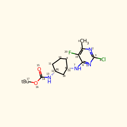 Cc1nc(Cl)nc(N[C@H]2CCC[C@@H](NC(=O)OC(C)(C)C)C2)c1F